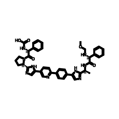 COCN[C@@H](C(=O)N[C@@H](C)c1ncc(-c2ccc(-c3ccc(-c4cnc([C@@H]5CCCN5C(=O)[C@H](NC(=O)O)c5ccccc5)[nH]4)cn3)cc2)[nH]1)c1ccccc1